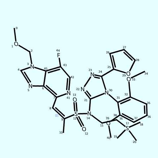 COCn1cnc2c(/C=C(/C)S(=O)(=O)N(CCS(C)(C)C)c3nnc(-c4ccco4)n3-c3c(OC)cccc3OC)ncc(F)c21